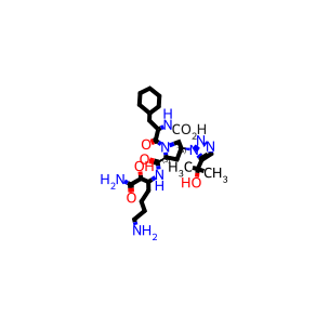 CC(C)(O)c1cnnn1[C@H]1C[C@@H](C(=O)NC(CCCCN)C(O)C(N)=O)N(C(=O)C(CC2CCCCC2)NC(=O)O)C1